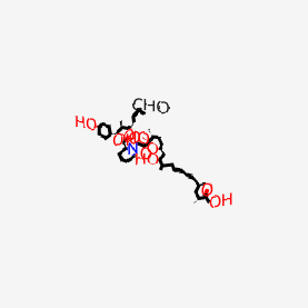 C/C(C=O)=C\C[C@H](OC(=O)[C@@H]1CCCCN1C(=O)C(=O)[C@]1(O)O[C@H](C[C@H](O)/C(C)=C/C=C/C=C/[C@@H](C)C[C@@H](C)C(=O)CO)CC[C@H]1C)[C@H](C)C[C@H]1CC[C@H](O)CC1